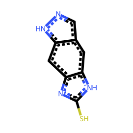 Sc1nc2cc3[nH]ncc3cc2[nH]1